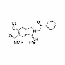 Br.CCOc1cc2c(cc1C(=O)NC)C(=N)N(CC(=O)c1ccccc1)C2